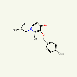 CCCCC(CC)Cn1ccc(=O)c(OCc2ccc(OC)cc2)c1C#N